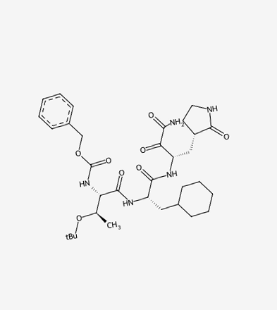 C[C@@H](OC(C)(C)C)[C@H](NC(=O)OCc1ccccc1)C(=O)N[C@@H](CC1CCCCC1)C(=O)N[C@@H](C[C@@H]1CCNC1=O)C(=O)C(N)=O